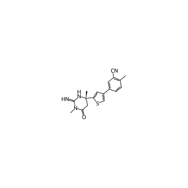 Cc1ccc(-c2csc([C@]3(C)CC(=O)N(C)C(=N)N3)c2)cc1C#N